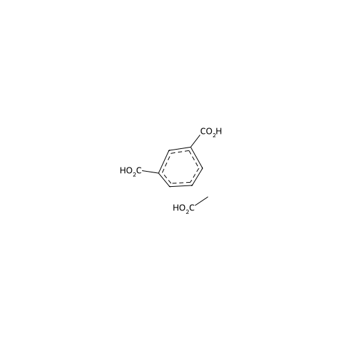 CC(=O)O.O=C(O)c1cccc(C(=O)O)c1